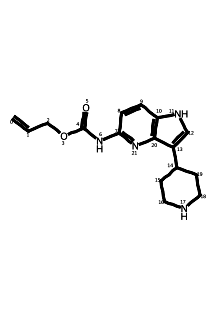 C=CCOC(=O)Nc1ccc2[nH]cc(C3CCNCC3)c2n1